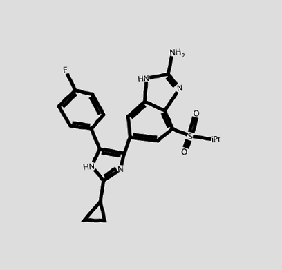 CC(C)S(=O)(=O)c1cc(-c2nc(C3CC3)[nH]c2-c2ccc(F)cc2)cc2[nH]c(N)nc12